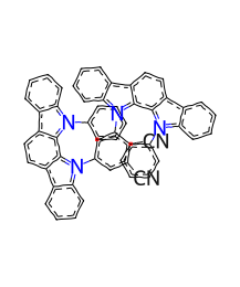 N#Cc1cc(-n2c3ccccc3c3ccc4c5ccccc5n(-c5ccccc5)c4c32)cc(-n2c3ccccc3c3ccc4c5ccccc5n(-c5ccccc5)c4c32)c1C#N